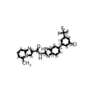 Cc1cccc2nc(C(=O)Nc3nc4ccc(-c5cc(Cl)cc(C(F)(F)F)c5)cc4[nH]3)cn12